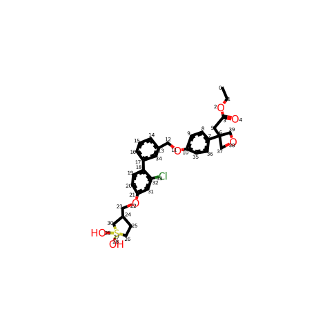 CCOC(=O)CC1(c2ccc(OCc3cccc(-c4ccc(OCC5CCS(O)(O)C5)cc4Cl)c3)cc2)COC1